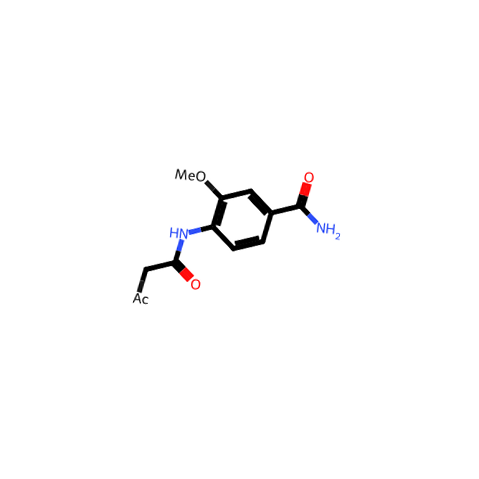 COc1cc(C(N)=O)ccc1NC(=O)CC(C)=O